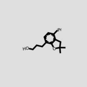 CC(C)c1ccc(CCCO)c2c1CC(C)(C)O2